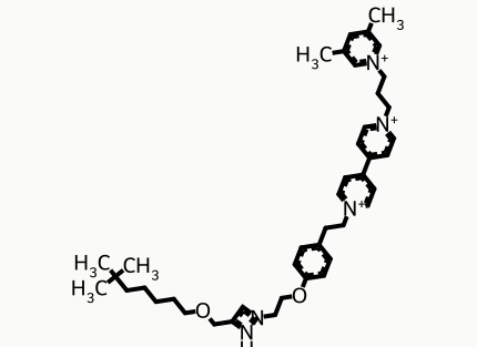 Cc1cc(C)c[n+](CCC[n+]2ccc(-c3cc[n+](CCc4ccc(OCCn5cc(COCCCCCC(C)(C)C)[nH]5)cc4)cc3)cc2)c1